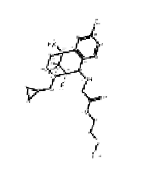 COCCOC(=O)CNC1c2ccc(O)cc2[C@@]2(C)CCN(CC3CC3)[C@H]1[C@@H]2C